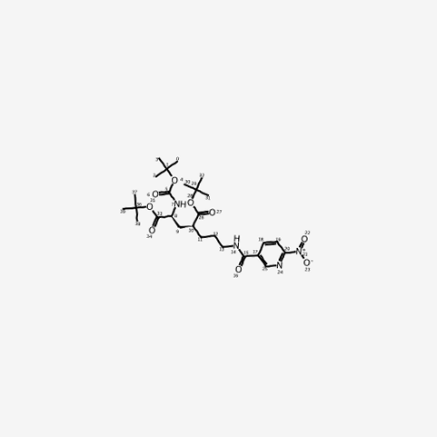 CC(C)(C)OC(=O)N[C@@H](C[C@H](CCCNC(=O)c1ccc([N+](=O)[O-])nc1)C(=O)OC(C)(C)C)C(=O)OC(C)(C)C